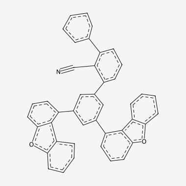 N#Cc1c(-c2ccccc2)cccc1-c1cc(-c2cccc3oc4ccccc4c23)cc(-c2cccc3oc4ccccc4c23)c1